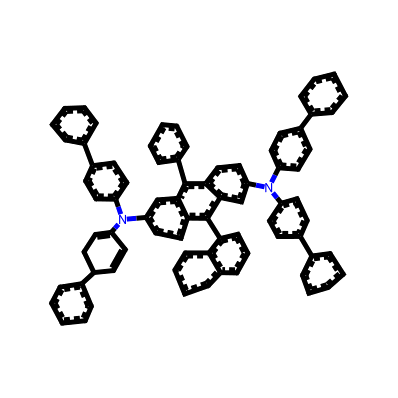 C1=CC(c2ccccc2)CC=C1N(c1ccc(-c2ccccc2)cc1)c1ccc2c(-c3cccc4ccccc34)c3cc(N(c4ccc(-c5ccccc5)cc4)c4ccc(-c5ccccc5)cc4)ccc3c(-c3ccccc3)c2c1